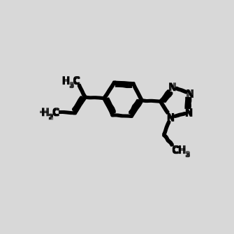 [CH2]C=C(C)c1ccc(-c2nnnn2CC)cc1